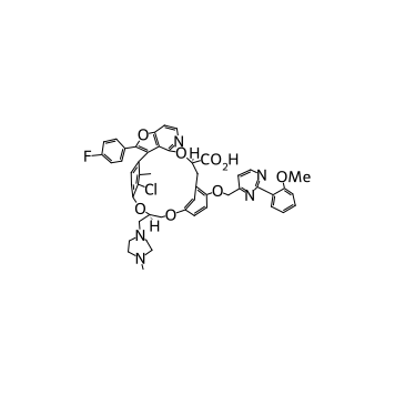 COc1ccccc1-c1nccc(COc2ccc3cc2C[C@H](C(=O)O)Oc2nccc4oc(-c5ccc(F)cc5)c(c24)-c2ccc(c(Cl)c2C)O[C@H](CN2CCN(C)CC2)CO3)n1